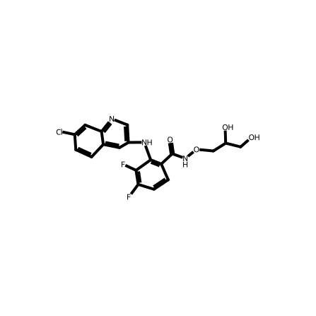 O=C(NOCC(O)CO)c1ccc(F)c(F)c1Nc1cnc2cc(Cl)ccc2c1